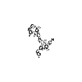 C=CC(=C)Nc1cc(Nc2nccc(-n3ccc4cc(F)ccc43)n2)c(OC)cc1N1CCC(N2CCOC(CC(=O)Nc3cc(Nc4nccc(-n5ccc6cc(F)ccc65)n4)c(OC)cc3N3CCC(N(C)C)CC3)C2)CC1